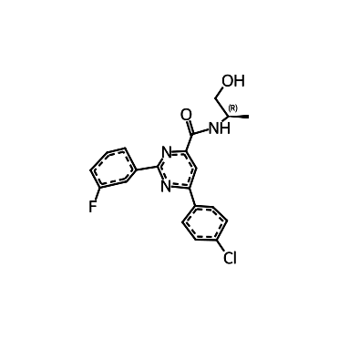 C[C@H](CO)NC(=O)c1cc(-c2ccc(Cl)cc2)nc(-c2cccc(F)c2)n1